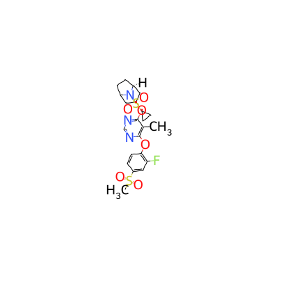 Cc1c(Oc2ccc(S(C)(=O)=O)cc2F)ncnc1OC1CC2CC[C@@H](C1)N2S(=O)(=O)C1CC1